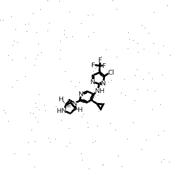 FC(F)(F)c1cnc(Nc2cnc(N3C[C@H]4C[C@@H]3CN4)cc2C2CC2)nc1Cl